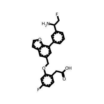 NC(CF)c1cccc(-c2cc(COc3cc(F)ccc3CC(=O)O)cc3ccoc23)c1